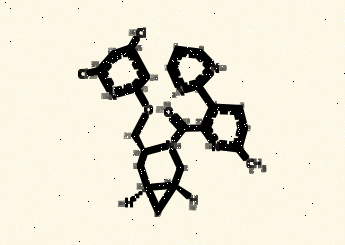 Cc1ccc(-c2ncccn2)c(C(=O)N2C[C@@H]3C[C@H]3C[C@H]2COc2cc(Cl)cc(Cl)n2)n1